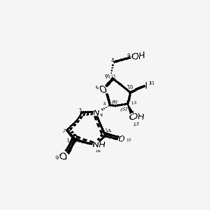 O=c1ccn([C@@H]2O[C@H](CO)C(I)[C@H]2O)c(=O)[nH]1